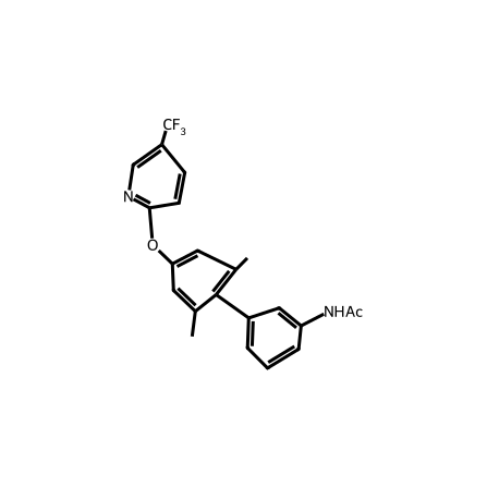 CC(=O)Nc1cccc(-c2c(C)cc(Oc3ccc(C(F)(F)F)cn3)cc2C)c1